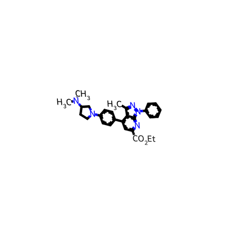 CCOC(=O)c1cc(-c2ccc(N3CCC(N(C)C)C3)cc2)c2c(C)nn(-c3ccccc3)c2n1